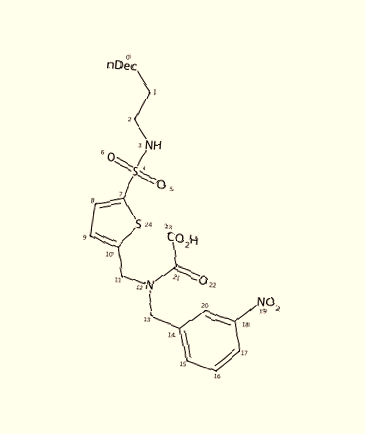 CCCCCCCCCCCCNS(=O)(=O)c1ccc(CN(Cc2cccc([N+](=O)[O-])c2)C(=O)C(=O)O)s1